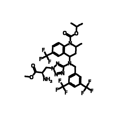 COC(=O)[C@H](N)Cn1nnc(N(Cc2cc(C(F)(F)F)cc(C(F)(F)F)c2)C2CC(C)N(C(=O)OC(C)C)c3ccc(C(F)(F)F)cc32)n1